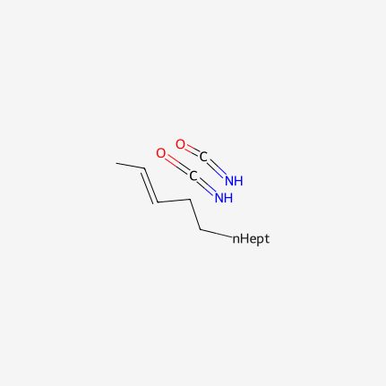 CC=CCCCCCCCCC.N=C=O.N=C=O